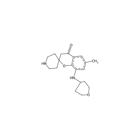 Cc1cc(NC2CCOCC2)c2c(c1)C(=O)CC1(CCNCC1)O2